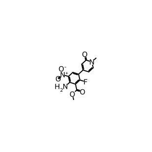 COC(=O)c1c(N)c([N+](=O)[O-])cc(-c2ccn(C)c(=O)c2)c1F